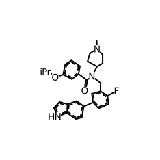 CC(C)Oc1cccc(C(=O)N(Cc2cc(-c3ccc4[nH]ccc4c3)ccc2F)C2CCN(C)CC2)c1